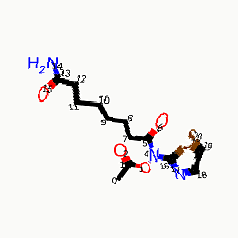 CC(=O)ON(C(=O)CCCCCCC(N)=O)c1nccs1